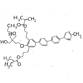 C=C(C)C(=O)OCCCc1cc(-c2ccc(-c3ccc(-c4ccc(C)cc4)cc3)cc2)cc(CCCOC(=O)C(=C)C)c1OCCC(CO)(CO)CCCC